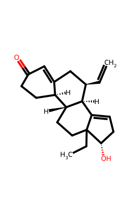 C=C[C@@H]1CC2=CC(=O)CC[C@@H]2[C@H]2CCC3(CC)C(=CC[C@@H]3O)[C@@H]21